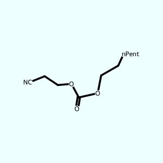 CCCCCCCOC(=O)OCCC#N